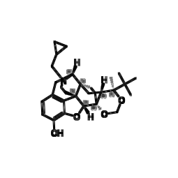 CC(C)(C)[C@@]1(C)OCO[C@]23CC[C@@]4(C[C@@H]21)[C@H]1Cc2ccc(O)c5c2[C@@]4(CCN1CC1CC1)[C@H]3O5